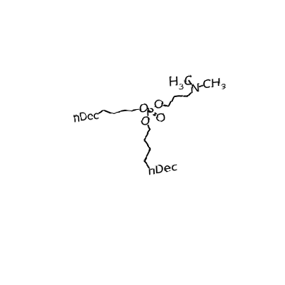 CCCCCCCCCCCCCCOP(=O)(OCCCCCCCCCCCCCC)OCCCN(C)C